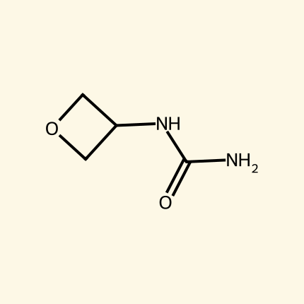 NC(=O)NC1COC1